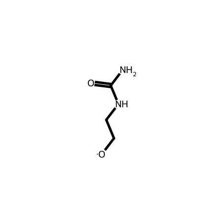 NC(=O)NCC[O]